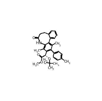 COC(=O)[C@@H](OC(C)(C)C)c1c(C)c2c(c(C)c1-c1ccc(C)cc1)-c1ccccc1CCC(=O)N2